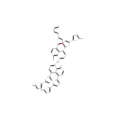 CC(C)(C)c1ccc(-c2ccc(-c3ccc4c5c(ccc(-c6ccc(-c7ccc(C(C)(C)C)s7)s6)c35)[C@@]3(C4)Sc4ccc(-c5ccc(-c6ccc(C(C)(C)C)s6)s5)c5c(-c6ccc(-c7ccc(C(C)(C)C)s7)s6)ccc3c45)s2)s1